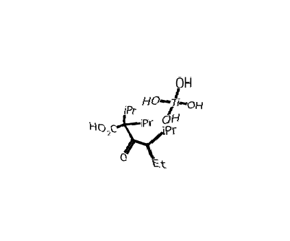 CCC(C(=O)C(C(=O)O)(C(C)C)C(C)C)C(C)C.[OH][Ti]([OH])([OH])[OH]